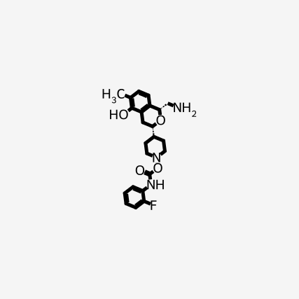 Cc1ccc2c(c1O)C[C@@H](C1CCN(OC(=O)Nc3ccccc3F)CC1)O[C@H]2CN